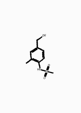 Cc1cc(CO)ccc1NS(C)(=O)=O